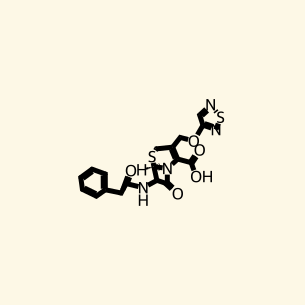 O=C(Cc1ccccc1)NC1C(=O)N2C(C(=O)O)=C(COc3cnsn3)CS[C@H]12